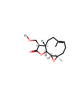 CCOC[C@@H]1C(=O)O[C@H]2[C@H]1CC/C(C)=C/CC[C@@]1(C)O[C@@H]21